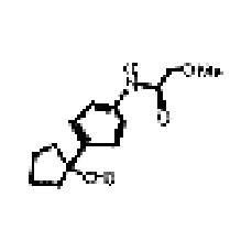 COCC(=O)Nc1ccc(C2(C=O)CCCC2)cc1